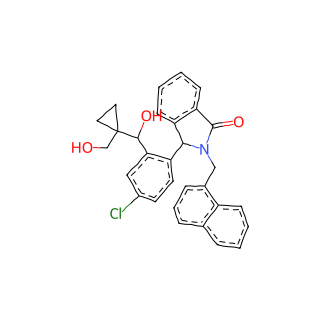 O=C1c2ccccc2C(c2ccc(Cl)cc2C(O)C2(CO)CC2)N1Cc1cccc2ccccc12